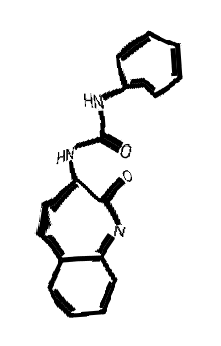 O=C(Nc1ccccc1)Nc1ccc2ccccc2nc1=O